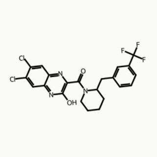 O=C(c1nc2cc(Cl)c(Cl)cc2nc1O)N1CCCCC1Cc1cccc(C(F)(F)F)c1